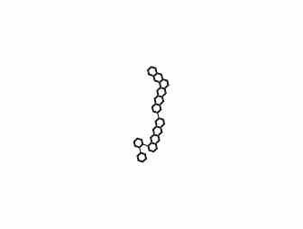 c1ccc(-c2ccccc2-c2cccc3cc4cc5ccc(-c6ccc7cc8cc9c(ccc%10cc%11ccccc%11cc%109)cc8cc7c6)cc5cc4cc23)cc1